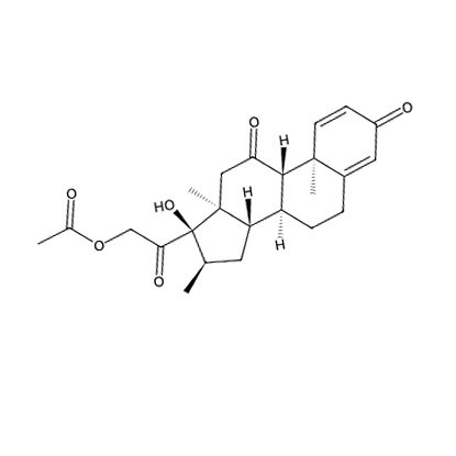 CC(=O)OCC(=O)[C@@]1(O)[C@H](C)C[C@H]2[C@@H]3CCC4=CC(=O)C=C[C@]4(C)[C@H]3C(=O)C[C@@]21C